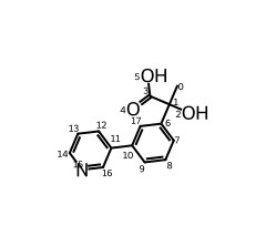 CC(O)(C(=O)O)c1cccc(-c2cccnc2)c1